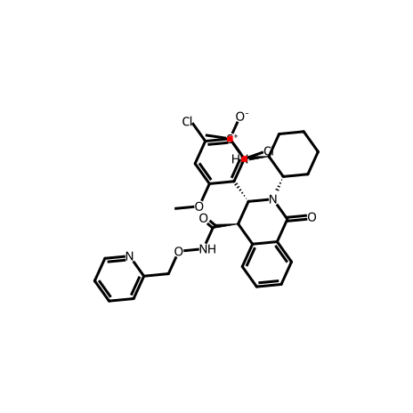 COc1cc(Cl)cc(Cl)c1[C@H]1[C@H](C(=O)NOCc2ccccn2)c2ccccc2C(=O)N1[C@H]1CCCC[C@@H]1N[S+](C)[O-]